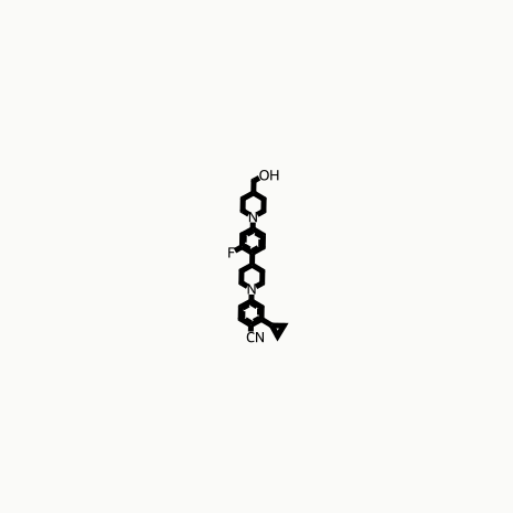 N#Cc1ccc(N2CCC(c3ccc(N4CCC(CO)CC4)cc3F)CC2)cc1C1CC1